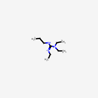 CCCNC(=NCC)N(CC)CC